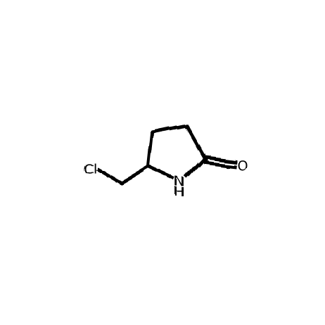 O=C1CCC(CCl)N1